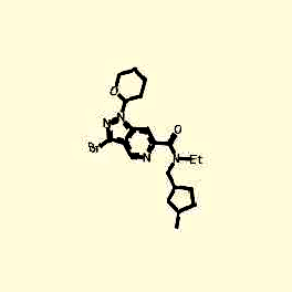 CCN(CC1CCC(C)C1)C(=O)c1cc2c(cn1)c(Br)nn2C1CCCCO1